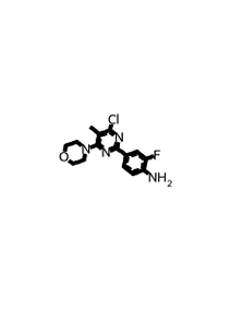 Cc1c(Cl)nc(-c2ccc(N)c(F)c2)nc1N1CCOCC1